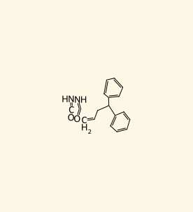 C=CCC(c1ccccc1)c1ccccc1.N=C=O.N=C=O